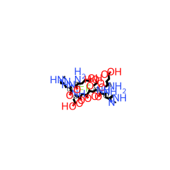 N[C@@H](CCC(=O)O)C(=O)N[C@@H](Cc1c[nH]cn1)C(=O)N[C@@H](CC(=O)O)C(=O)C(F)C(=O)C(F)C(=O)[C@H](CC(=O)O)NC(=O)[C@H](Cc1c[nH]cn1)NC(=O)[C@@H](N)CCC(=O)O